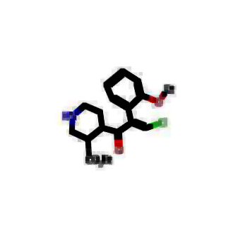 CCOC(=O)C1CNCCC1C(=O)C(=CCl)c1ccccc1OCC